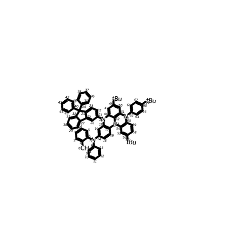 Cc1ccccc1N(c1ccccc1)c1ccc2c(c1)N(c1ccc3c(c1)-c1ccccc1C3(c1ccccc1)c1ccccc1)c1cc(C(C)(C)C)cc3c1B2c1cc(C(C)(C)C)ccc1N3c1ccc(C(C)(C)C)cc1